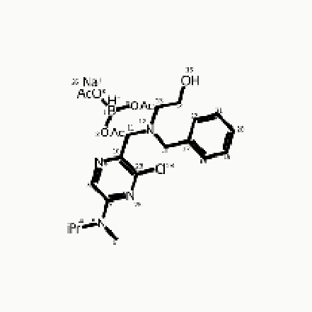 CC(=O)O[BH-](OC(C)=O)OC(C)=O.CC(C)N(C)c1cnc(CN(CCO)Cc2ccccc2)c(Cl)n1.[Na+]